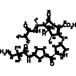 C[C@@H](NC(=O)C(F)F)[C@H]1C(=O)N2C(C(=O)O)=C(S[C@@H]3CN[C@H](C(=O)N4CC[C@H](NC(=O)C(F)(F)CN)C4)C3)[C@H](C)[C@@H]12